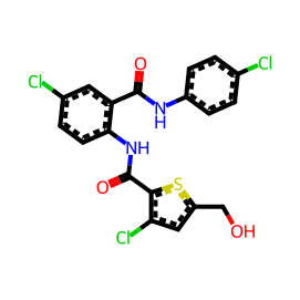 O=C(Nc1ccc(Cl)cc1)c1cc(Cl)ccc1NC(=O)c1sc(CO)cc1Cl